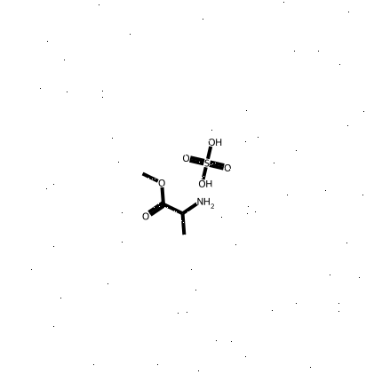 COC(=O)C(C)N.O=S(=O)(O)O